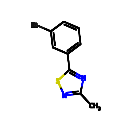 CCc1cccc(-c2nc(C)ns2)c1